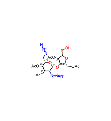 CC(=O)OC[C@H]1OC(SO)[C@H](OC(C)=O)[C@@H]1O[C@H]1O[C@@H](CN=[N+]=[N-])[C@@H](OC(C)=O)[C@H](OC(C)=O)C1N=[N+]=[N-]